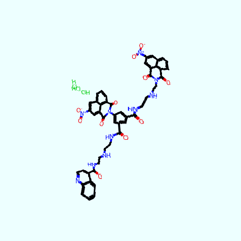 Cl.Cl.Cl.O=C(NCCNCCNC(=O)c1ccnc2ccccc12)c1cc(C(=O)NCCNCCN2C(=O)c3cccc4cc([N+](=O)[O-])cc(c34)C2=O)cc(N2C(=O)c3cccc4cc([N+](=O)[O-])cc(c34)C2=O)c1